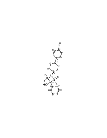 CC1(C)C(N2CCN(c3ccc(F)cc3)CC2)C(C)(C)C1(O)c1ccccc1